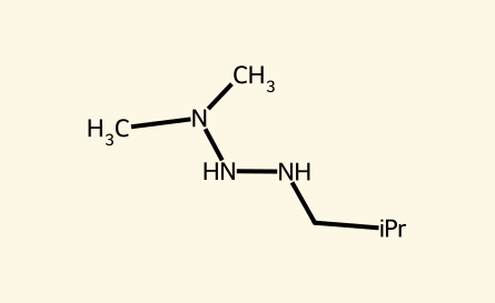 CC(C)CNNN(C)C